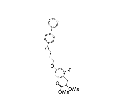 COC(=O)C(Cc1ccc(OCCCOc2ccc(-c3ccccc3)cc2)cc1F)OC